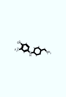 NCC1CCC(Nc2ccc(N=O)c(C(F)(F)F)c2)CC1